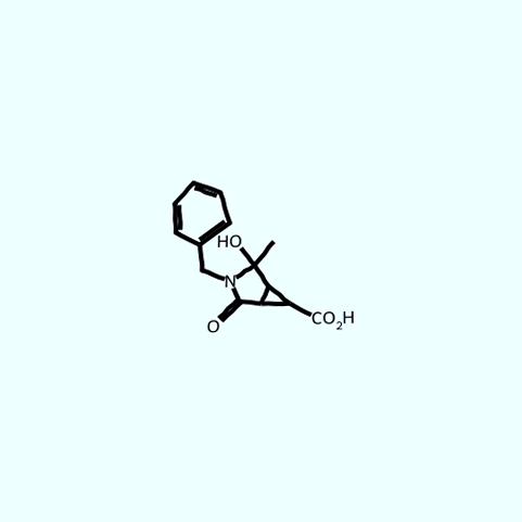 CC1(O)C2C(C(=O)O)C2C(=O)N1Cc1ccccc1